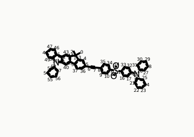 CC1(C)c2cc(C#Cc3ccc(S(=O)(=O)c4ccc(N(c5ccccc5)c5ccccc5)cc4)cc3)ccc2-c2cc3c(cc21)c1ccccc1n3-c1ccccc1